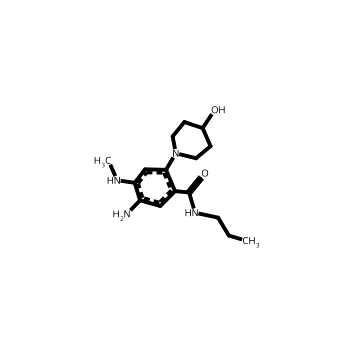 CCCNC(=O)c1cc(N)c(NC)cc1N1CCC(O)CC1